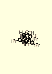 CC(C)c1cc(C(C)C)c(B2c3cccc4c3N3c5c2cccc5C(C)(C)c2cccc(c23)B4c2c(C(C)C)cc(C(C)C)cc2C(C)C)c(C(C)C)c1